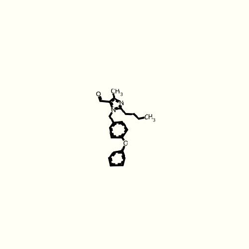 CCCCc1nc(C)c(C=O)n1Cc1ccc(Oc2ccccc2)cc1